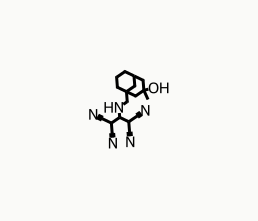 CC1(O)CC2CCCC(CNC(C(C#N)C#N)C(C#N)C#N)(C2)C1